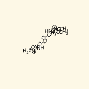 BC(=O)N1CCCC1c1nc2ccc(-c3cccc4c(-c5ccc6nc([C@@H]7CCCN7C(=O)OC(C)(C)C)[nH]c6c5)cccc34)cc2[nH]1